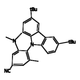 Cc1cc(C#N)cc(N(C)C)c1-n1c2ccc(C(C)(C)C)cc2c2cc(C(C)(C)C)ccc21